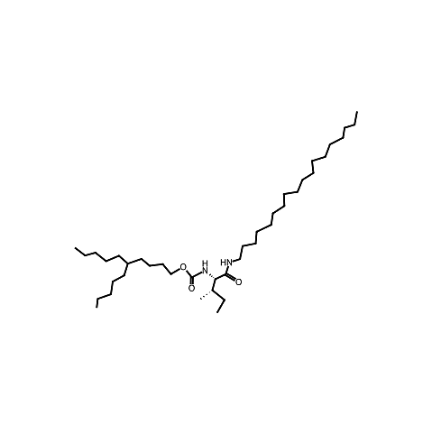 CCCCCCCCCCCCCCCCCCNC(=O)[C@@H](NC(=O)OCCCCC(CCCCC)CCCCC)[C@@H](C)CC